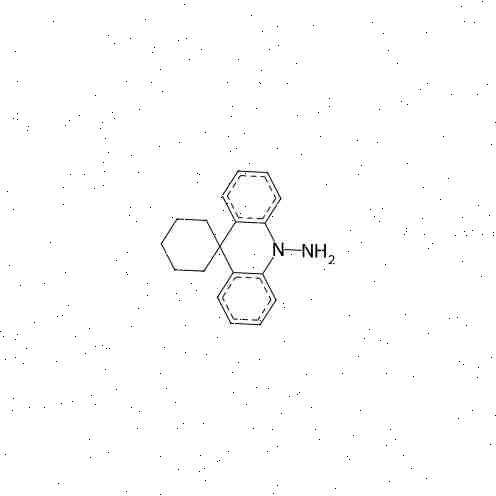 NN1c2ccccc2C2(CCCCC2)c2ccccc21